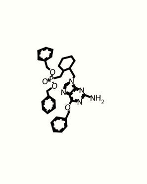 Nc1nc(OCc2ccccc2)c2ncn(CC3CCCCC3CP(=O)(OCc3ccccc3)OCc3ccccc3)c2n1